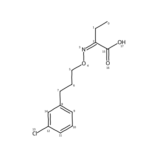 CC/C(=N/OCCCc1cccc(Cl)c1)C(=O)O